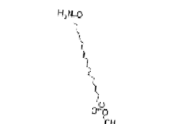 CCOC(=O)OCCCCCCCCCCC=CCCCCCCCC(N)=O